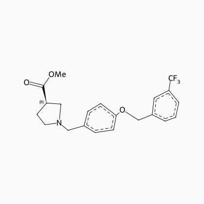 COC(=O)[C@@H]1CCN(Cc2ccc(OCc3cccc(C(F)(F)F)c3)cc2)C1